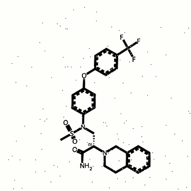 CS(=O)(=O)N(C[C@@H](C(N)=O)N1CCc2ccccc2C1)c1ccc(Oc2ccc(C(F)(F)F)cc2)cc1